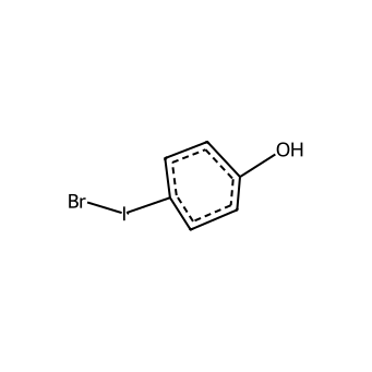 Oc1ccc([I]Br)cc1